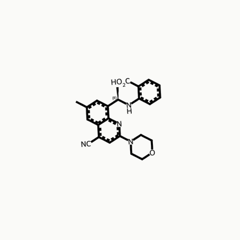 Cc1cc([C@@H](C)Nc2ccccc2C(=O)O)c2nc(N3CCOCC3)cc(C#N)c2c1